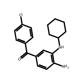 Nc1ccc(C(=O)c2ccc(Cl)cc2)cc1NC1CCCCC1